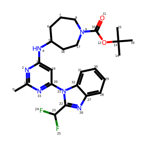 Cc1nc(NC2CCCN(C(=O)OC(C)(C)C)CC2)cc(-n2c(C(F)F)nc3ccccc32)n1